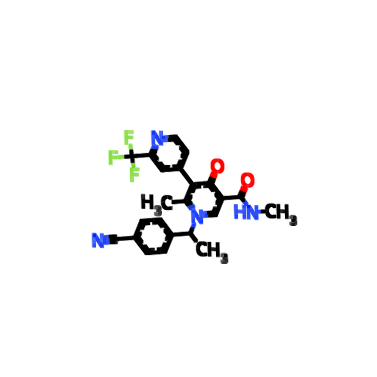 CNC(=O)c1cn(C(C)c2ccc(C#N)cc2)c(C)c(-c2ccnc(C(F)(F)F)c2)c1=O